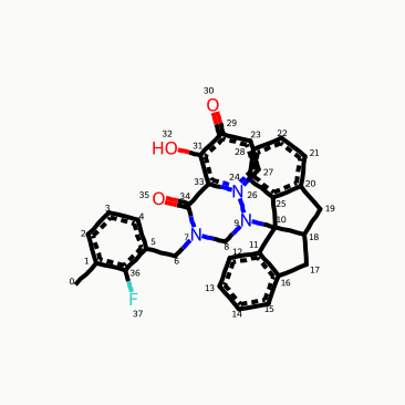 Cc1cccc(CN2CN(C34c5ccccc5CC3Cc3ccccc34)n3ccc(=O)c(O)c3C2=O)c1F